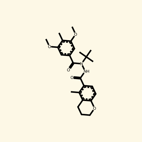 COc1cc(C(=O)N(NC(=O)c2ccc3c(c2C)CCCO3)C(C)(C)C)cc(OC)c1C